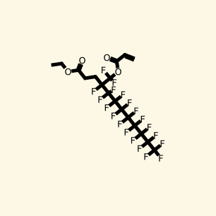 C=CC(=O)OC(F)(F)C(F)(CCC(=O)OCC)C(F)(F)C(F)(F)C(F)(F)C(F)(F)C(F)(F)C(F)(F)C(F)(F)C(F)(F)F